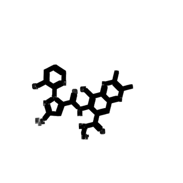 Cc1nc2cc(C(=O)NC(C)C)c(NC(=O)c3cc(C(F)(F)F)nn3-c3ncccc3Cl)c(Cl)c2nc1C